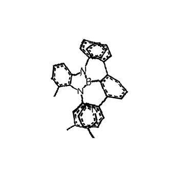 Cc1cnc(N2B(c3c(-c4ccccc4)cccc3-c3ccccc3)N(c3ccccc3)c3cccc(C)c32)cc1C